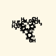 CC(C)(C)c1cc(N(c2ccc(O)cc2)c2csc(C(C)(C)C)c2)cs1